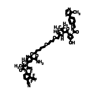 Cc1ncsc1-c1ccc(CNC(=O)[C@@H]2C[C@@H](O)CN2C(=O)[C@@H](NC(=O)COCCCOCCCCCOc2ncc(N3C(=S)N(c4ccc(C#N)c(C(F)(F)F)c4F)C(=O)C3(C)C)cc2C(N)=O)C(C)(C)C)cc1